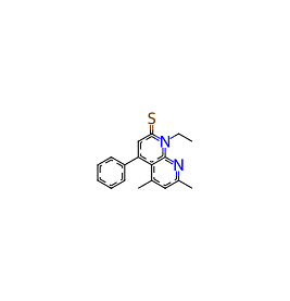 CCn1c(=S)cc(-c2ccccc2)c2c(C)cc(C)nc21